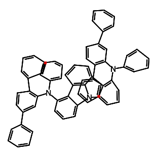 c1ccc(-c2ccc(-c3ccccc3)c(N(c3ccccc3)c3cccc4c3c3cccc5c6c(N(c7ccccc7)c7cc(-c8ccccc8)ccc7-c7ccccc7)cccc6n4c35)c2)cc1